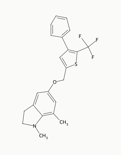 Cc1cc(OCc2cc(-c3ccccc3)c(C(F)(F)F)s2)cc2c1N(C)CC2